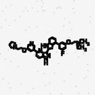 CN(C)CCOc1cc(F)cc(-c2cccc3[nH]c(-c4n[nH]c5ccc(-c6cncc(OCCN7CCCC7)c6)nc45)cc23)c1